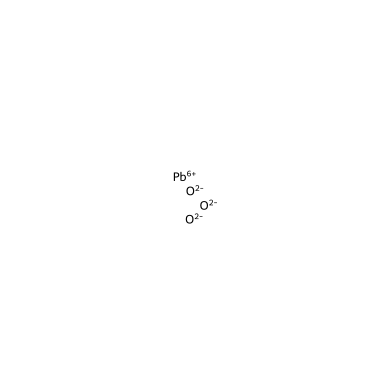 [O-2].[O-2].[O-2].[Pb+6]